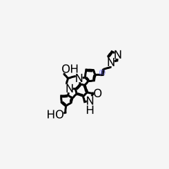 O=C1NCc2c1c1c3cc(/C=C/Cn4ccnc4)ccc3n3c1c1c2c2cc(CO)ccc2n1CC(CO)C3